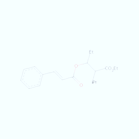 CCOC(=O)C(C(C)C)C(CC)OC(=O)C=Cc1ccccc1